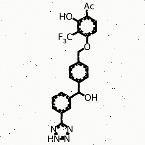 CC(=O)c1ccc(OCc2ccc(C(O)c3cccc(-c4nn[nH]n4)c3)cc2)c(C(F)(F)F)c1O